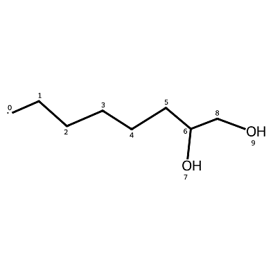 [CH2]CCCCCC(O)CO